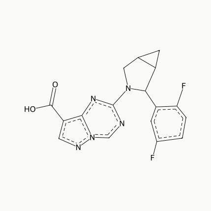 O=C(O)c1cnn2cnc(N3CC4CC4C3c3cc(F)ccc3F)nc12